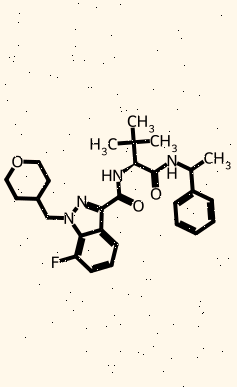 CC(NC(=O)[C@@H](NC(=O)c1nn(CC2CCOCC2)c2c(F)cccc12)C(C)(C)C)c1ccccc1